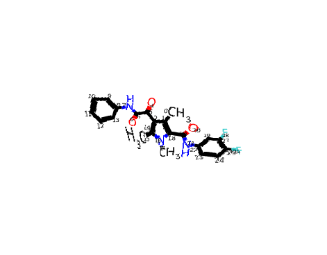 Cc1c(C(=O)C(=O)Nc2ccccc2)c(C)n(C)c1C(=O)Nc1ccc(F)c(F)c1